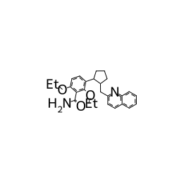 CCOc1ccc(C2CCCC2Cc2ccc3ccccc3n2)c(OCC)c1C(N)=O